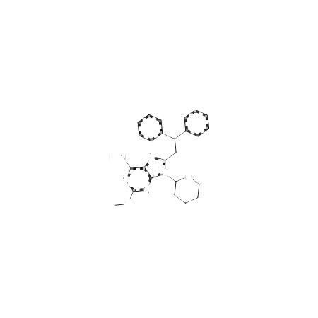 CSc1nc(N)c2nc(CC(c3ccccc3)c3ccccc3)n(C3CCCCO3)c2n1